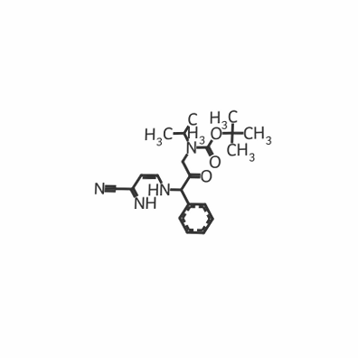 CC(C)N(CC(=O)C(N/C=C\C(=N)C#N)c1ccccc1)C(=O)OC(C)(C)C